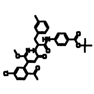 COc1nn(C(Cc2cccc(C)c2)C(=O)Nc2ccc(C(=O)OC(C)(C)C)cc2)c(=O)cc1-c1cc(Cl)ccc1C(C)=O